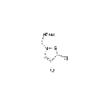 CCCCCCN1C=C(Cl)C(Cl)S1